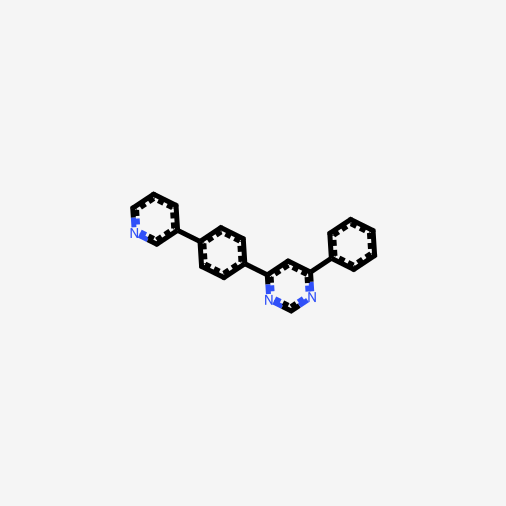 c1ccc(-c2cc(-c3ccc(-c4cccnc4)cc3)ncn2)cc1